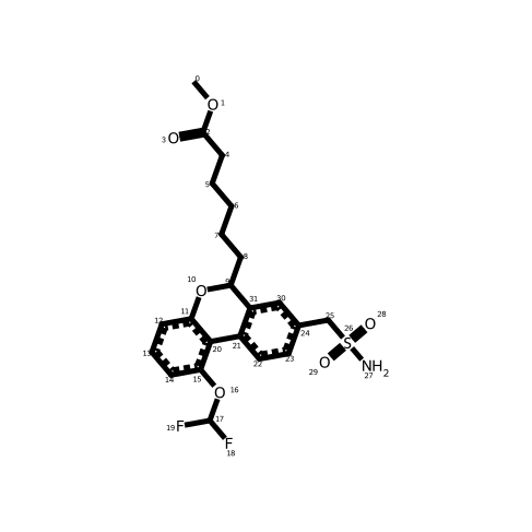 COC(=O)CCCCCC1Oc2cccc(OC(F)F)c2-c2ccc(CS(N)(=O)=O)cc21